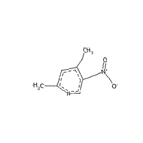 [CH2]c1cc(C)c([N+](=O)[O-])cn1